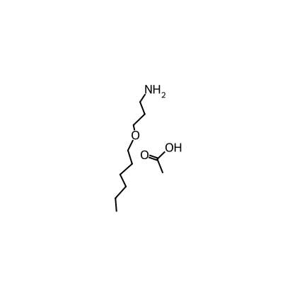 CC(=O)O.CCCCCCOCCCN